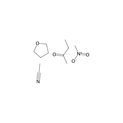 C1CCOC1.CC#N.CCC(C)=O.C[N+](=O)[O-]